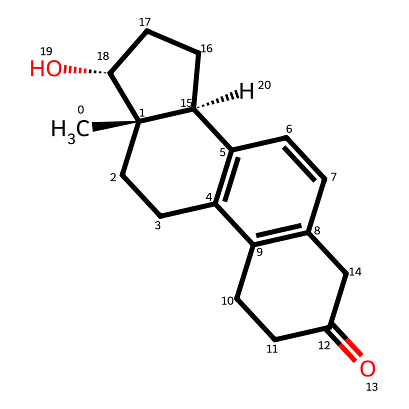 C[C@]12CCc3c(ccc4c3CCC(=O)C4)[C@@H]1CC[C@H]2O